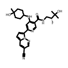 CC1(O)CCC(Nc2cc(-c3ccc4cc(C#N)cnn34)ncc2C(=O)NC[C@@H](F)C(C)(C)O)CC1